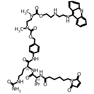 CC(C)[C@H](NC(=O)CCCCCN1C(=O)C=CC1=O)C(=O)N[C@@H](CCCNC(N)=O)C(=O)Nc1ccc(COC(=O)N(C)CCN(C)C(=O)OCCNCCNc2c3ccccc3nc3ccccc23)cc1